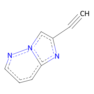 C#Cc1cn2ncccc2n1